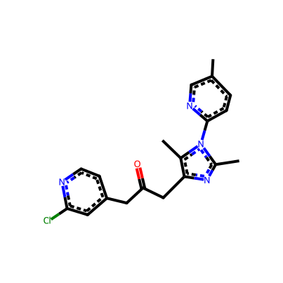 Cc1ccc(-n2c(C)nc(CC(=O)Cc3ccnc(Cl)c3)c2C)nc1